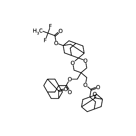 CC(F)(F)C(=O)OC12CC3CC(C1)C1(OCC(COC(=O)C45CC6CC(C4)C(=O)C(C6)C5)(COC(=O)C45CC6CC(C4)C(=O)C(C6)C5)CO1)C(C3)C2